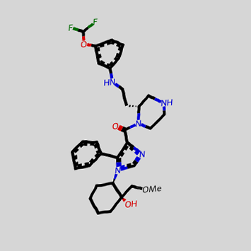 COC[C@]1(O)CCCC[C@H]1n1cnc(C(=O)N2CCNC[C@H]2CCNc2cccc(OC(F)F)c2)c1-c1ccccc1